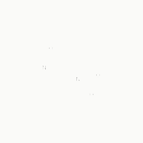 CC(C)C(=O)C(CN(C)Cc1ccccc1)CN(C)C(=O)OC(C)(C)C